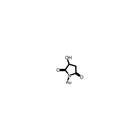 O=C1CC(O)C(=O)[N]1[Au]